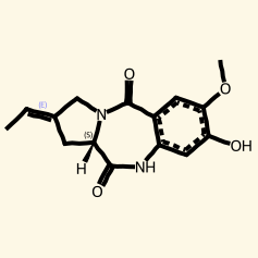 C/C=C1\C[C@H]2C(=O)Nc3cc(O)c(OC)cc3C(=O)N2C1